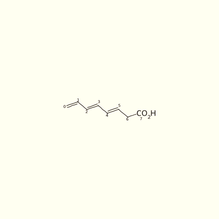 C=CC=CC=CCC(=O)O